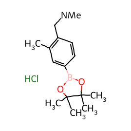 CNCc1ccc(B2OC(C)(C)C(C)(C)O2)cc1C.Cl